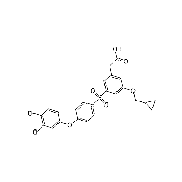 O=C(O)Cc1cc(OCC2CC2)cc(S(=O)(=O)c2ccc(Oc3ccc(Cl)c(Cl)c3)cc2)c1